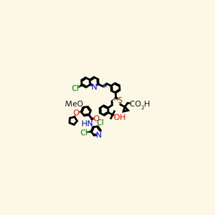 CC(C)(O)c1ccccc1CC[C@@H](SCC1(CC(=O)O)CC1)c1cccc(/C=C/c2ccc3ccc(Cl)cc3n2)c1.COc1ccc(C(=O)Nc2c(Cl)cncc2Cl)cc1OC1CCCC1